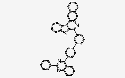 c1ccc(-c2nc(-c3ccc(-c4cccc(-c5nc6cc7ccccc7cc6c6c5sc5ccccc56)c4)cc3)c3ccccc3n2)cc1